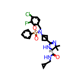 CC1(C)N=C(C23CC(N(Cc4ccc(Cl)c(F)c4)S(=O)(=O)c4ccccc4)(C2)C3)N[C@H]1C(=O)NCC1CC1